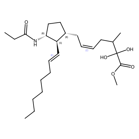 CCCCCC/C=C/[C@@H]1[C@@H](C/C=C\CC(C)C(O)(O)C(=O)OC)CC[C@H]1NC(=O)CC